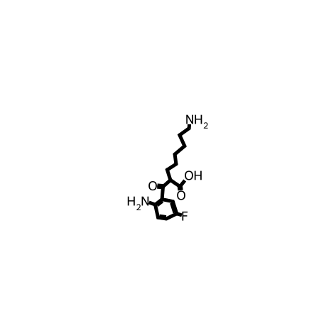 NCCCCCCC(C(=O)O)C(=O)c1cc(F)ccc1N